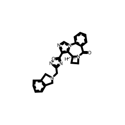 O=C1c2ccccc2-n2cnc(-c3nc(CN4Cc5ccccc5C4)no3)c2[C@@H]2CCN12